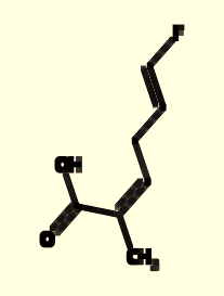 CC(=CCC=CF)C(=O)O